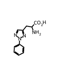 NC(Cc1cnn(-c2ccccc2)n1)C(=O)O